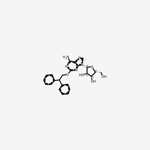 Nc1nc(OCC(c2ccccc2)c2ccccc2)nc2c1ncn2[C@@H]1O[C@H](CO)[C@@H](O)[C@H]1O